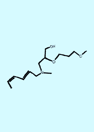 C/C=C\C=C\CN(C)CC(CO)OCCCOC